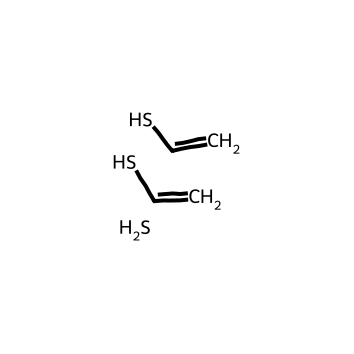 C=CS.C=CS.S